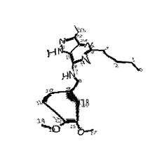 CCCCc1nc(NCc2ccc(OC)c(OC)c2)c2[nH]nc(I)c2n1